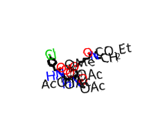 C#CCN(CC(=O)OCC)C(=O)CCCCCO[C@]1(C(=O)OC)C[C@H](OC(C)=O)[C@@H](NC(=O)COC(C)=O)[C@H]([C@H](OC(C)=O)[C@@H](CNC(=O)Cc2ccc(Cl)cc2)OC(C)=O)O1